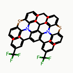 FC(F)(F)c1cccc(-c2cc(-c3cccc(C(F)(F)F)c3)c(N3c4ccccc4Sc4ccccc43)c(C3CCCCC3)c2N2c3ccccc3Sc3ccccc32)c1